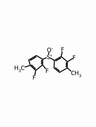 Cc1ccc([S+]([O-])c2ccc(C)c(F)c2F)c(F)c1F